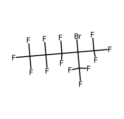 FC(F)(F)C(F)(F)C(F)(F)C(Br)(C(F)(F)F)C(F)(F)F